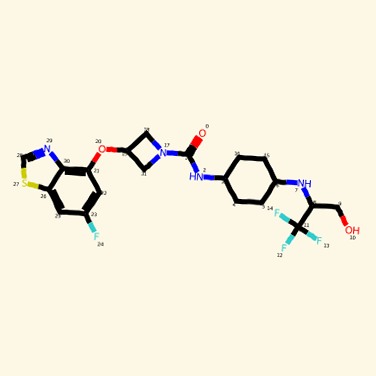 O=C(NC1CCC(NC(CO)C(F)(F)F)CC1)N1CC(Oc2cc(F)cc3scnc23)C1